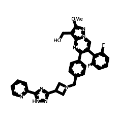 COc1nn2cc(-c3c(F)cccc3F)c(-c3ccc(CN4CC(c5n[nH]c(-c6ccccn6)n5)C4)cc3)nc2c1CO